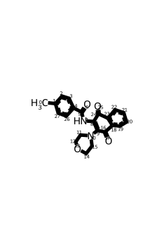 Cc1ccc(C(=O)NC2=C(N3CCOCC3)C(=O)c3ccccc3C2=O)cc1